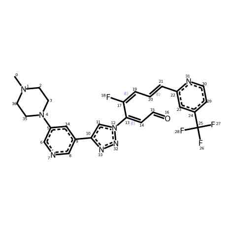 CN1CCN(c2cncc(-c3cn(C(=C/C=O)/C(F)=C\C=C\c4cc(C(F)(F)F)ccn4)nn3)c2)CC1